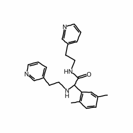 Cc1ccc(C)c(C(NCCc2cccnc2)C(=O)NCCc2cccnc2)c1